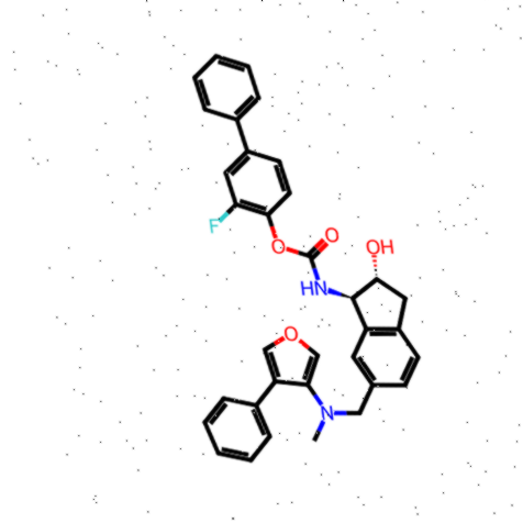 CN(Cc1ccc2c(c1)[C@@H](NC(=O)Oc1ccc(-c3ccccc3)cc1F)[C@H](O)C2)c1cocc1-c1ccccc1